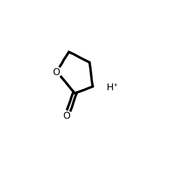 O=C1CCCO1.[H+]